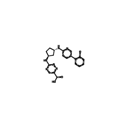 O=C(O)c1cnc(N[C@H]2CC[C@H](Nc3ccc(-n4ccccc4=O)cn3)C2)nn1